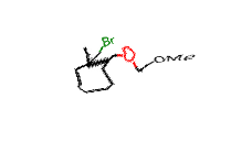 COCOC1C=CC=CC1(C)Br